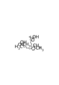 Cc1ccc(CCCCCC(C)(C)C(=O)O)c(CCCCCC2(C(=O)O)CC2)c1C